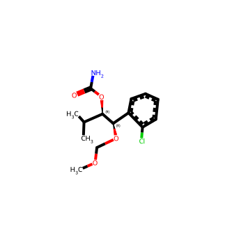 COCO[C@H](c1ccccc1Cl)[C@H](OC(N)=O)C(C)C